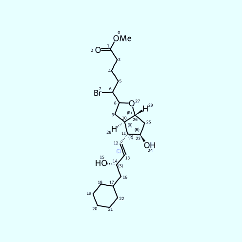 COC(=O)CCCC(Br)C1C[C@@H]2[C@@H](/C=C/[C@@H](O)CC3CCCCC3)[C@H](O)C[C@H]2O1